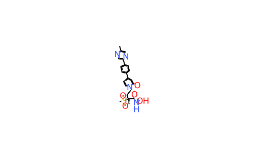 Cc1cnc(-c2ccc(-c3ccn(CC[C@](C)(C(=O)NO)S(C)(=O)=O)c(=O)c3)cc2)cn1